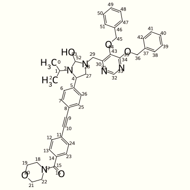 CC(C)N1C(c2ccc(C#Cc3ccc(C(=O)N4CCOCC4)cc3)cc2)CN(Cc2ncnc(OCc3ccccc3)c2OCc2ccccc2)C1O